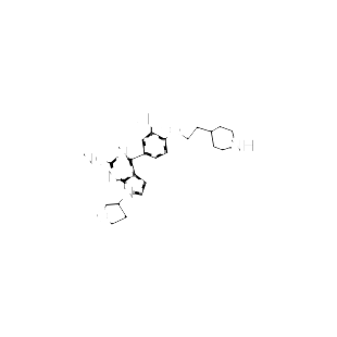 N#Cc1nc(-c2ccc(OCCC3CCNCC3)c(C(F)(F)F)c2)c2ccn(C3CCOC3)c2n1